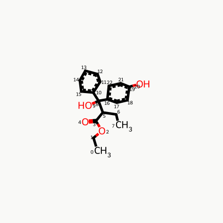 CCOC(=O)C(CC)C(O)(c1ccccc1)c1ccc(O)cc1